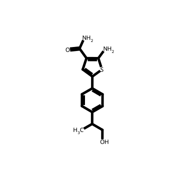 CC(CO)c1ccc(-c2cc(C(N)=O)c(N)s2)cc1